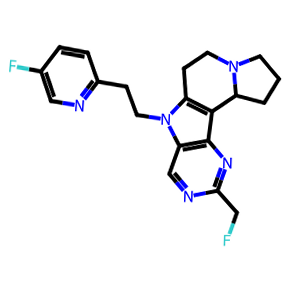 FCc1ncc2c(n1)c1c(n2CCc2ccc(F)cn2)CCN2CCCC12